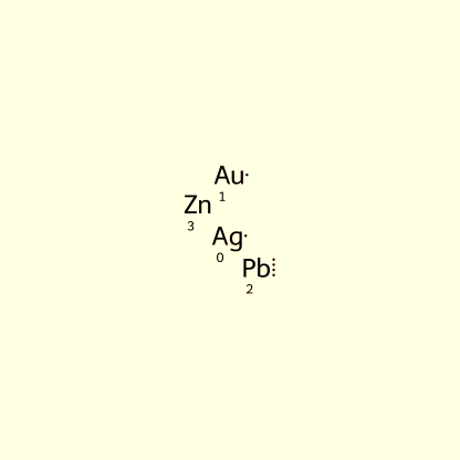 [Ag].[Au].[Pb].[Zn]